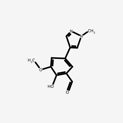 COc1cc(-c2cnn(C)c2)cc(C=O)c1O